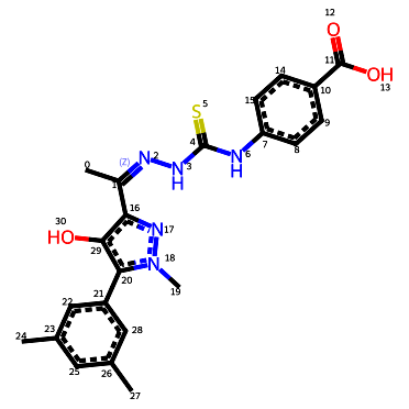 C/C(=N/NC(=S)Nc1ccc(C(=O)O)cc1)c1nn(C)c(-c2cc(C)cc(C)c2)c1O